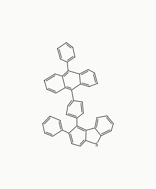 c1ccc(-c2ccc3sc4ccccc4c3c2-c2ccc(-c3c4ccccc4c(-c4ccccc4)c4ccccc34)cc2)cc1